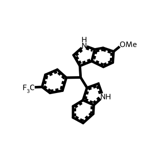 COc1ccc2c(C(c3ccc(C(F)(F)F)cc3)c3c[nH]c4ccccc34)c[nH]c2c1